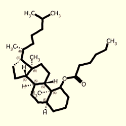 CCCCCC(=O)OC1CCC[C@H]2CC[C@H]3[C@@H]4CC[C@H]([C@H](C)CCCC(C)C)[C@@]4(C)CC[C@@H]3[C@@]12C